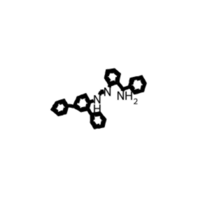 NC(c1ccccc1)c1ccccc1/N=C/Nc1ccc(-c2ccccc2)cc1-c1ccccc1